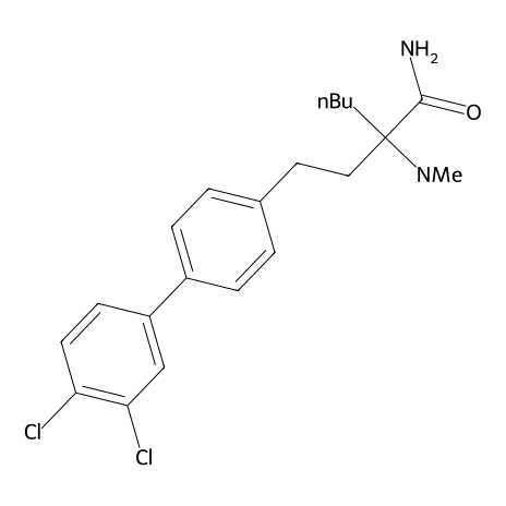 CCCCC(CCc1ccc(-c2ccc(Cl)c(Cl)c2)cc1)(NC)C(N)=O